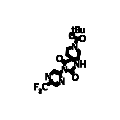 CC(C)(C)OC(=O)N1CCC2(CC1)NC(=O)N(c1cnc(C(F)(F)F)cn1)C2=O